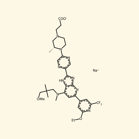 CCOc1cc(-c2cc(N(C)CC(C)(C)COC)c3[nH]c(-c4cnc(N5CCN(CCC(=O)[O-])C[C@H]5C)cn4)nc3n2)cc(C(F)(F)F)n1.[Na+]